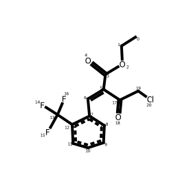 CCOC(=O)/C(=C/c1ccccc1C(F)(F)F)C(=O)CCl